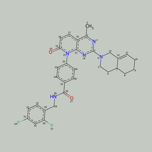 Cc1nc(N2CCC3CCCC=C3C2)nc2c1ccc(=O)n2-c1ccc(C(=O)NCc2ccc(F)cc2F)cc1